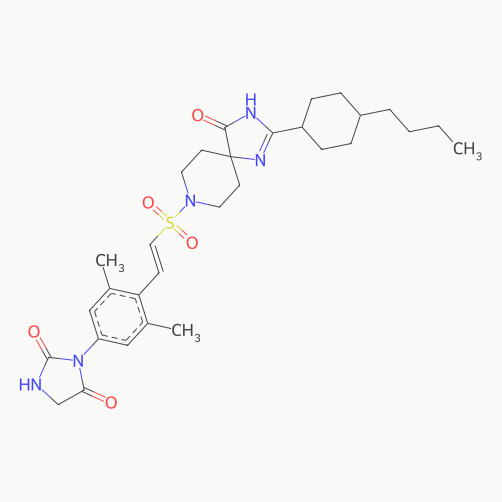 CCCCC1CCC(C2=NC3(CCN(S(=O)(=O)C=Cc4c(C)cc(N5C(=O)CNC5=O)cc4C)CC3)C(=O)N2)CC1